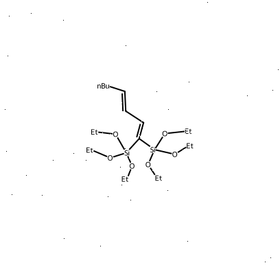 CCCCC=CC=C([Si](OCC)(OCC)OCC)[Si](OCC)(OCC)OCC